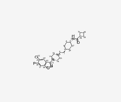 O=C(N[C@H]1CC[C@H](CCN2CCN(c3noc4cc(F)c(Cl)cc34)CC2)CC1)C1CCC1